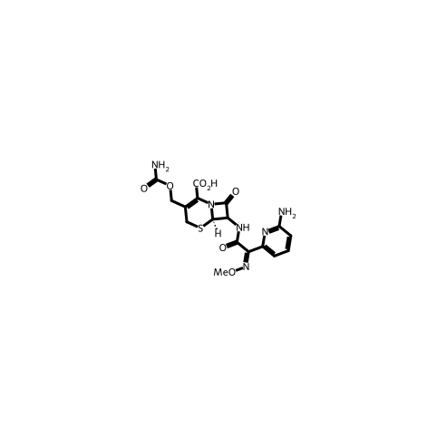 CO/N=C(\C(=O)NC1C(=O)N2C(C(=O)O)=C(COC(N)=O)CS[C@H]12)c1cccc(N)n1